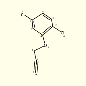 C#CCOc1cc(Cl)ccc1Cl